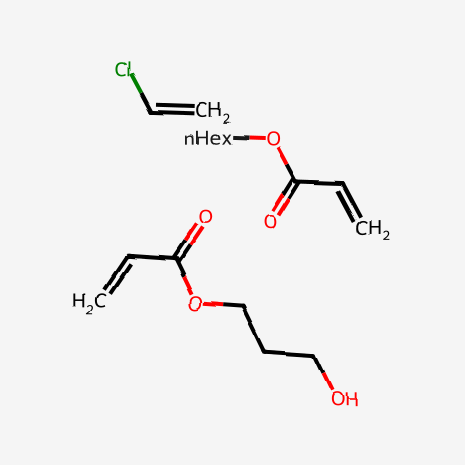 C=CC(=O)OCCCCCC.C=CC(=O)OCCCO.C=CCl